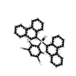 O=P(c1c(F)c(F)cc(F)c1F)(c1cc2ccccc2c2ccccc12)c1cc2ccccc2c2ccccc12